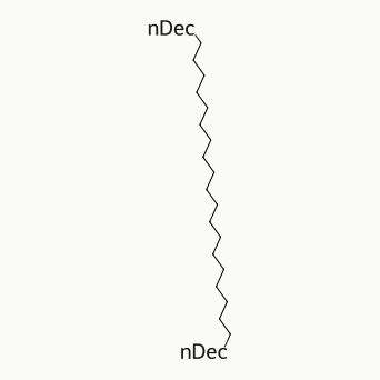 [CH2]CCCCCCCCCCCCCCCCCCCCCCCCCCCCCCCCCCCCC[CH2]